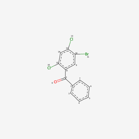 O=C(c1ccccc1)c1cc(Br)c(Cl)cc1Cl